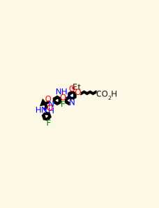 CCOc1cc2c(Oc3ccc(NC(=O)C4(C(=O)Nc5ccc(F)cc5)CC4)cc3F)ccnc2cc1OCCCCCCC(=O)O.N